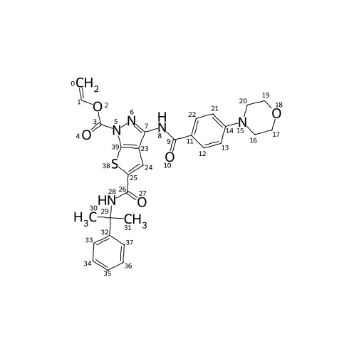 C=COC(=O)n1nc(NC(=O)c2ccc(N3CCOCC3)cc2)c2cc(C(=O)NC(C)(C)c3ccccc3)sc21